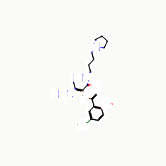 C=C(S/C(C(=O)NCCCCN1CCCC1)=C(/C)N)c1cc(Cl)ccc1OC